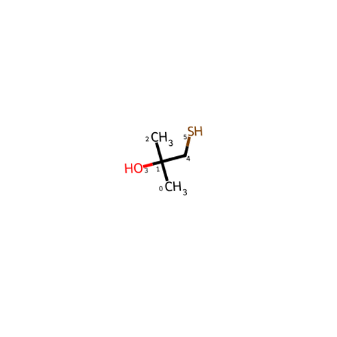 CC(C)(O)CS